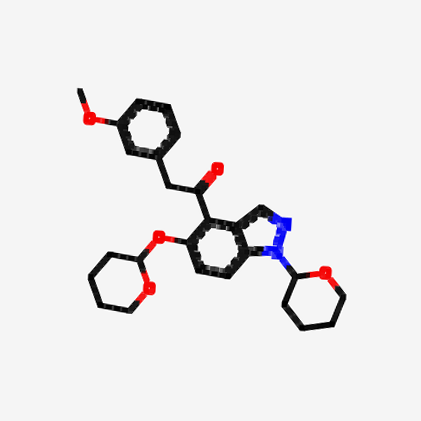 COc1cccc(CC(=O)c2c(OC3CCCCO3)ccc3c2cnn3C2CCCCO2)c1